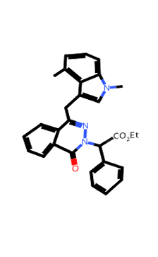 CCOC(=O)C(c1ccccc1)n1nc(Cc2cn(C)c3cccc(C)c23)c2ccccc2c1=O